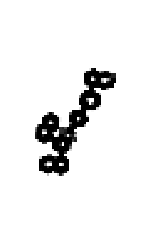 C1=Cc2c(cccc2-c2cc(-c3cccc4ccccc34)c3nc(-c4ccc(C5=CC=C(c6cccc7cnccc67)C=CC5)cc4)sc3c2)CC1